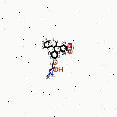 CCC(=C(c1ccccc1)c1ccc(OCC(O)CN(C)C)cc1)c1ccc2c(c1)OCO2